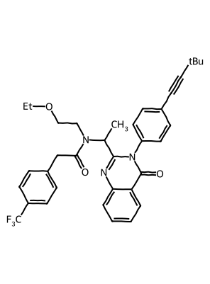 CCOCCN(C(=O)Cc1ccc(C(F)(F)F)cc1)C(C)c1nc2ccccc2c(=O)n1-c1ccc(C#CC(C)(C)C)cc1